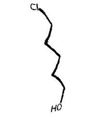 OCCCCCCl